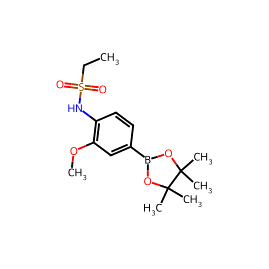 CCS(=O)(=O)Nc1ccc(B2OC(C)(C)C(C)(C)O2)cc1OC